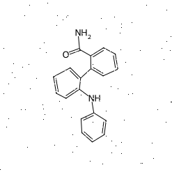 NC(=O)c1ccccc1-c1ccccc1Nc1ccccc1